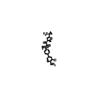 CS(=O)(=O)O.Nc1ncc(-c2ccc(CC(=O)Nc3cc(C4(C(F)(F)F)CC4)on3)cc2)cc1Cl